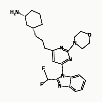 N[C@@H]1CCC[C@H](CCCc2cc(-n3c(C(F)F)nc4ccccc43)nc(N3CCOCC3)n2)C1